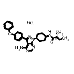 CC[C@@H](N)C(=O)NC1CCC(n2nc(-c3ccc(Oc4ccccc4)cc3)c3c(N)ncnc32)CC1.Cl